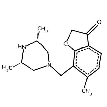 Cc1ccc2c(c1CN1C[C@@H](C)N[C@@H](C)C1)OCC2=O